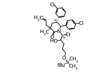 C=CC[C@@]1(C)C[C@H](c2cccc(Cl)c2)C(c2ccc(Cl)cc2)N([C@@H](CC)C(O)CCCO[Si](C)(C)C(C)(C)C)C1=O